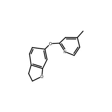 Cc1ccnc(Oc2ccc3c(c2)OCC3)c1